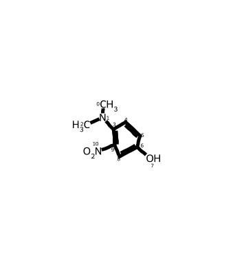 CN(C)c1ccc(O)cc1[N+](=O)[O-]